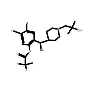 CC(C)(O)CN1CCC(C(N)c2cc(Cl)c(Cl)cc2OC(=O)C(F)(F)F)CC1